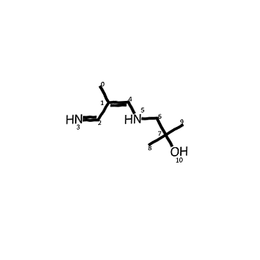 C/C(C=N)=C/NCC(C)(C)O